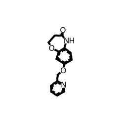 O=C1CCOc2cc(OCc3ccccn3)ccc2N1